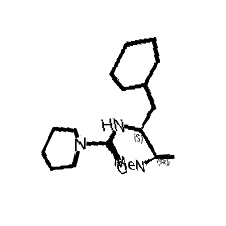 CN[C@H](C)[C@H](CC1CCCCC1)NC(=O)N1CCCCC1